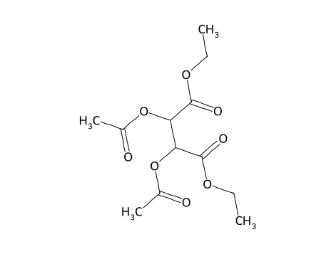 CCOC(=O)C(OC(C)=O)C(OC(C)=O)C(=O)OCC